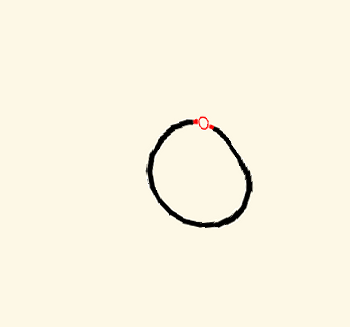 C1CCCCCCCCCOCCCCCCCC1